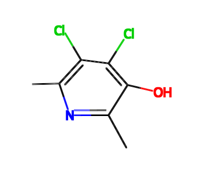 Cc1nc(C)c(Cl)c(Cl)c1O